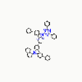 C=C(/C=c1\c(=C/C)n(-c2nc(-c3ccccc3)nc(-c3ccccc3)n2)c2ccc(-c3ccccc3)cc12)c1ccc2c(c1)c1cc(-c3ccccc3)ccc1n2-c1cccc2ccccc12